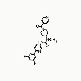 CN(C(=O)Nc1ccc(-c2cc(F)cc(F)c2)nc1)C1CCN(C(=O)c2ccncc2)CC1